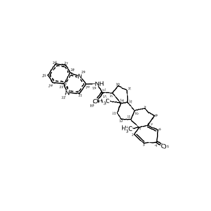 CC12C=CC(=O)C=C1CCC1C2CCC2(C)C(C(=O)Nc3cnc4ccccc4n3)CCC12